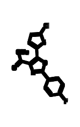 COC(=O)c1nc(-c2ccc(F)cc2)oc1-c1ccc(Cl)s1